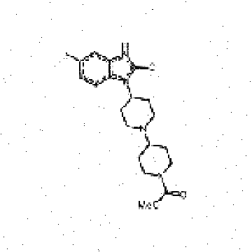 COC(=O)N1CCC(N2CCC(n3c(=O)[nH]c4cc(C)ccc43)CC2)CC1